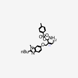 CCCCc1nc2ccc(OC/C(=C/F)C(N)OS(=O)(=O)c3ccc(C)cc3)cc2n1C